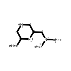 [CH2]CCCCCC1CNCC(CN(CCCCCC)CCCCCC)N1